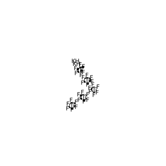 [F][Ti]([F])([F])([F])([F])[F].[F][Ti]([F])([F])([F])([F])[F].[F][Ti]([F])([F])([F])([F])[F].[F][Ti]([F])([F])([F])([F])[F].[F][Ti]([F])([F])([F])([F])[F].[KH].[KH]